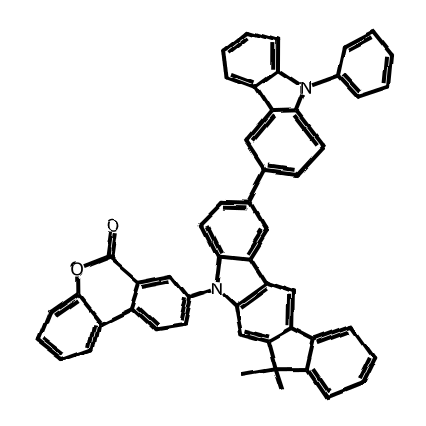 CC1(C)c2ccccc2-c2cc3c4cc(-c5ccc6c(c5)c5ccccc5n6-c5ccccc5)ccc4n(-c4ccc5c(c4)c(=O)oc4ccccc45)c3cc21